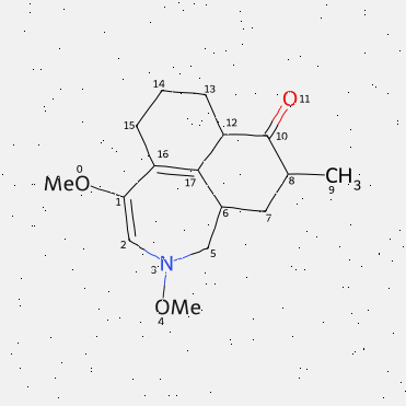 COC1=CN(OC)CC2CC(C)C(=O)C3CCCC1=C23